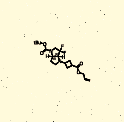 C=CCOC(=O)C1CC(N2CC[C@H]3[C@@H]2C(F)(F)CN3C(=O)OC(C)(C)C)C1